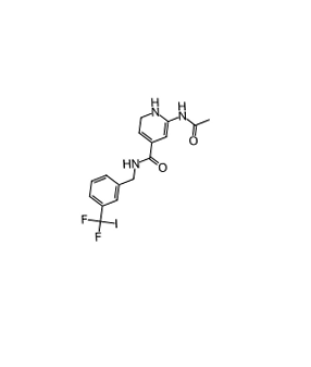 CC(=O)NC1=CC(C(=O)NCc2cccc(C(F)(F)I)c2)=CCN1